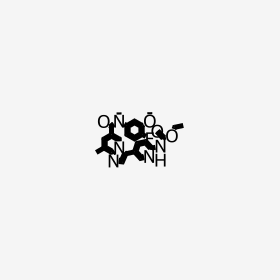 CCOC(=O)Nc1ccc(-c2cnc3c(C)cc(C(=O)N(C)c4ccc(F)c(OC)c4)cn23)cn1